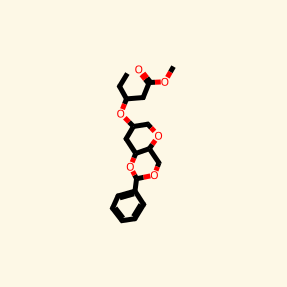 CCC(CC(=O)OC)OC1COC2COC(c3ccccc3)OC2C1